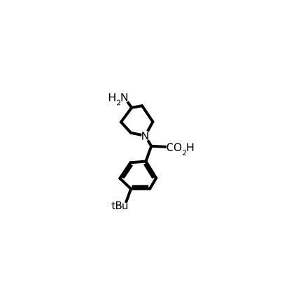 CC(C)(C)c1ccc(C(C(=O)O)N2CCC(N)CC2)cc1